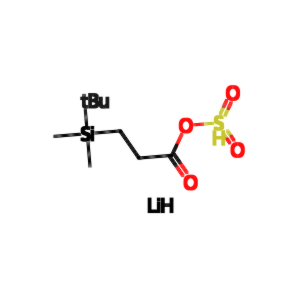 CC(C)(C)[Si](C)(C)CCC(=O)O[SH](=O)=O.[LiH]